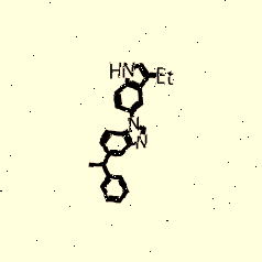 CCc1c[nH]c2ccc(-n3cnc4cc(C(C)c5ccccc5)ccc43)cc12